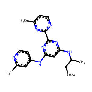 COCC(C)Nc1cc(Nc2ccnc(C(F)(F)F)c2)nc(-c2nccc(C(F)(F)F)n2)n1